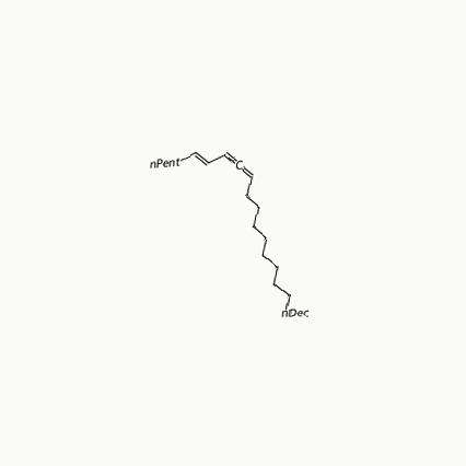 CCCCCC=CC=C=CCCCCCCCCCCCCCCCCCC